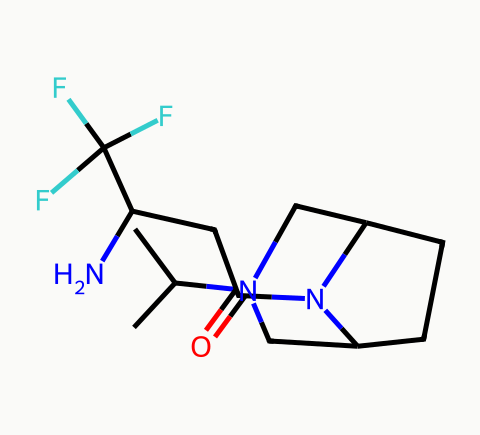 CC(C)N1CC2CCC(C1)N2C(=O)CC(N)C(F)(F)F